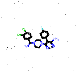 Nc1ncnc(N2CCN(C(N)c3ccc(Cl)c(Cl)c3)CC2)c1-c1ccc(F)cc1